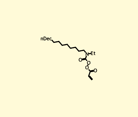 C=CC(=O)OOC(=O)N(CC)CCCCCCCCCCCCCCCCCC